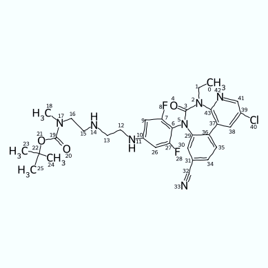 CCN1C(=O)N(c2c(F)cc(NCCNCCN(C)C(=O)OC(C)(C)C)cc2F)c2cc(C#N)ccc2-c2cc(Cl)cnc21